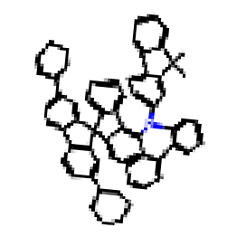 CC1(C)c2ccccc2-c2ccc(N(c3ccccc3-c3ccccc3)c3cccc4c3-c3ccccc3C43c4cc(C5CC6CCC5CC6)ccc4-c4ccc(C5CC6CCC5CC6)cc43)cc21